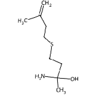 C=C(C)CCSCCC(C)(N)O